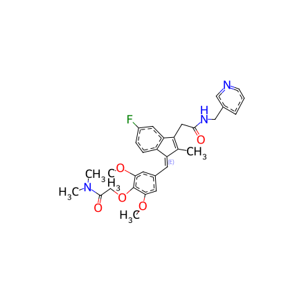 COc1cc(/C=C2/C(C)=C(CC(=O)NCc3cccnc3)c3cc(F)ccc32)cc(OC)c1OCC(=O)N(C)C